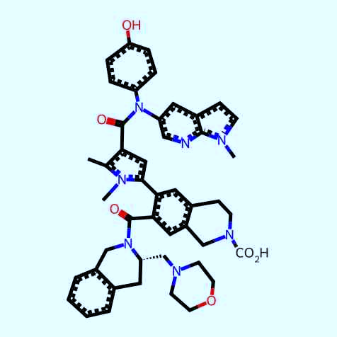 Cc1c(C(=O)N(c2ccc(O)cc2)c2cnc3c(ccn3C)c2)cc(-c2cc3c(cc2C(=O)N2Cc4ccccc4C[C@H]2CN2CCOCC2)CN(C(=O)O)CC3)n1C